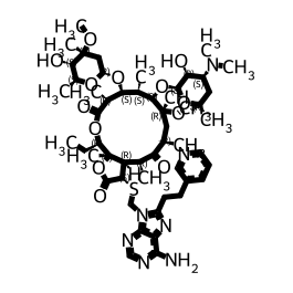 CC[C@H]1OC(=O)[C@H](C)[C@@H](O[C@H]2C[C@@](C)(OC)[C@@H](O)[C@H](C)O2)[C@H](C)[C@@H](O[C@@H]2O[C@H](C)C[C@H](N(C)C)[C@H]2O)[C@](C)(OC)C[C@@H](C)C(=O)[C@H](C)[C@H]2[C@H](SCn3c(CCc4cccnc4)nc4c(N)ncnc43)C(=O)O[C@@]21C